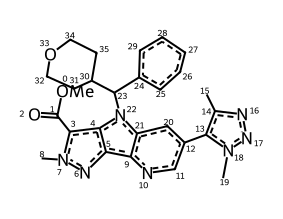 COC(=O)c1c2c(nn1C)c1ncc(-c3c(C)nnn3C)cc1n2C(c1ccccc1)C1CCOCC1